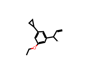 [CH2]C(C=C)c1cc(OCC)cc(C2CC2)c1